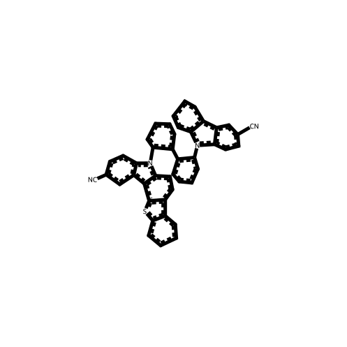 N#Cc1ccc2c(c1)c1ccccc1n2-c1ccccc1-c1ccccc1-n1c2ccc(C#N)cc2c2c3sc4ccccc4c3ccc21